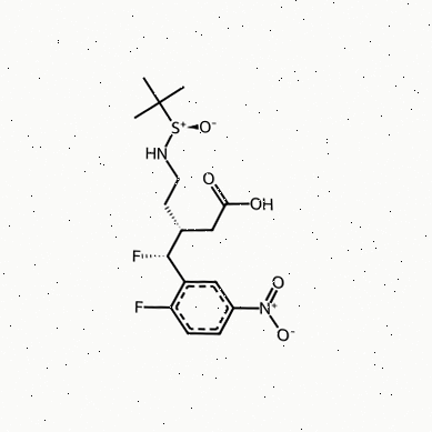 CC(C)(C)[S@@+]([O-])NCC[C@H](CC(=O)O)[C@@H](F)c1cc([N+](=O)[O-])ccc1F